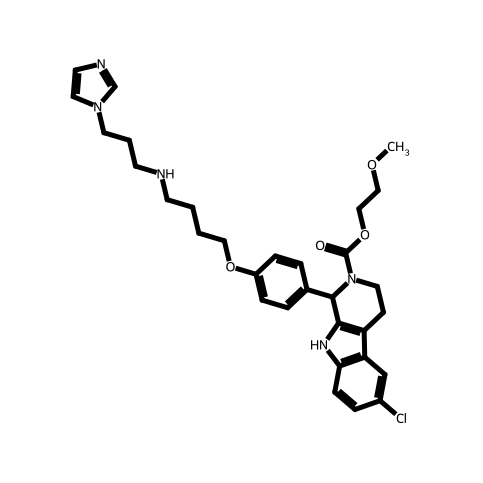 COCCOC(=O)N1CCc2c([nH]c3ccc(Cl)cc23)C1c1ccc(OCCCCNCCCn2ccnc2)cc1